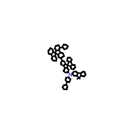 CC1(C)c2ccccc2-c2ccc(N(c3ccc(-c4ccccc4)cc3)c3ccc4c(c3)C3(c5ccccc5-c5ccccc53)c3cc(-c5ccc6c(c5)C5(c7ccccc7-c7ccccc75)c5cccc(-c7ccccc7)c5-6)ccc3-4)cc21